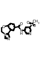 CS(=O)(=O)c1cncc(NC(=O)c2ccc3c(c2)-c2cncn2CCO3)c1